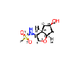 CS(=O)(=O)N[C@@H]1CO[C@@H]2C[C@H](O)C[C@H]12